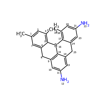 Cc1cc(C)c2c(c1)Cc1cc(N)cc3c1B2c1c(C)cc(N)cc1C3